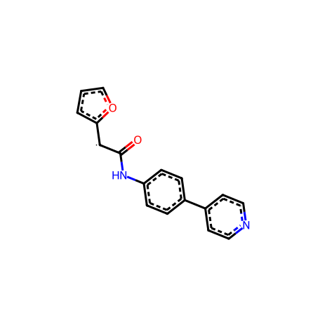 O=C([CH]c1ccco1)Nc1ccc(-c2ccncc2)cc1